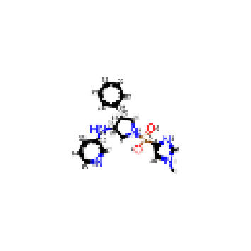 Cn1cnc(S(=O)(=O)N2C[C@@H](Nc3cccnc3)[C@H](c3ccccc3)C2)c1